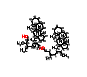 CC(C)C(CCO)CCC(C)[C@H]1CC[C@H]2[C@@H]3CCC4CCCC[C@]4(C)[C@H]3CC[C@]12C.CC(CO)C(C)CCC(C)[C@H]1CC[C@H]2[C@@H]3CCC4CCCC[C@]4(C)[C@H]3CC[C@]12C